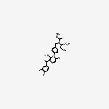 Cc1cc(C(=O)c2ccc(=O)n(-c3ccc(CN(C(=O)OC(C)(C)C)C(CC(C)C)C(=O)O)cc3)c2N)ccc1F